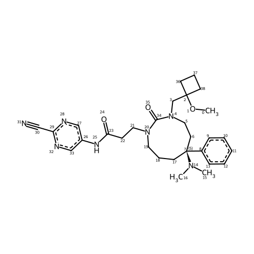 COC1(CN2CC[C@@](c3ccccc3)(N(C)C)CCCN(CCC(=O)Nc3cnc(C#N)nc3)C2=O)CCC1